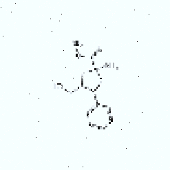 CC(C)(C)OC(=O)C1(N)CC(CO)C(c2ccccc2)C1